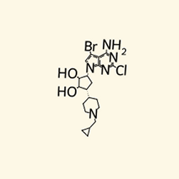 Nc1nc(Cl)nc2c1c(Br)cn2[C@@H]1C[C@H](C2CCN(CC3CC3)CC2)[C@@H](O)[C@H]1O